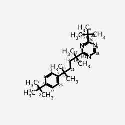 CC(C)(C)c1ccc(C(C)(C)CCC(C)(C)c2ncnc(C(C)(C)C)n2)cc1